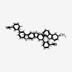 C[C@H]1C=Cc2c(c3ccccc3n2-c2c(C#N)cccc2C2C=Cc3sc4cc5c(cc4c3C2)sc2ccc(-c3cccc(C#N)c3)cc25)C1